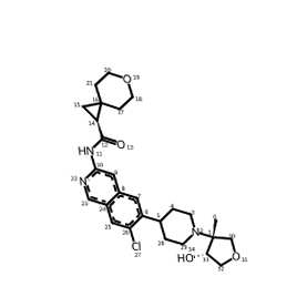 C[C@@]1(N2CCC(c3cc4cc(NC(=O)[C@H]5CC56CCOCC6)ncc4cc3Cl)CC2)COC[C@@H]1O